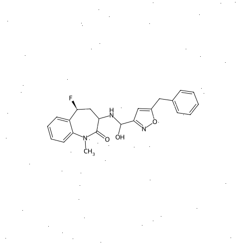 CN1C(=O)C(NC(O)c2cc(Cc3ccccc3)on2)C[C@H](F)c2ccccc21